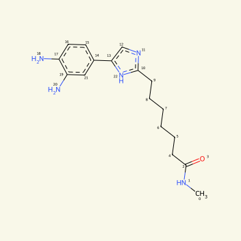 CNC(=O)CCCCCCc1ncc(-c2ccc(N)c(N)c2)[nH]1